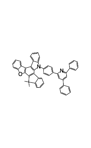 CC1(C)c2ccccc2-c2c1c1oc3ccccc3c1c1c3ccccc3n(-c3ccc(-c4cc(-c5ccccc5)cc(-c5ccccc5)n4)cc3)c21